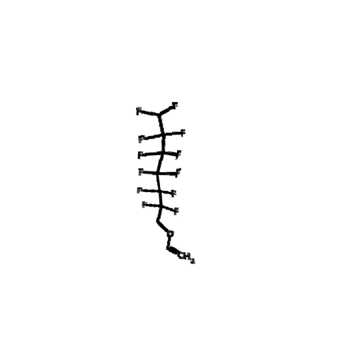 C=COCC(F)(F)C(F)(F)C(F)(F)C(F)(F)C(F)(F)C(F)F